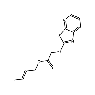 C/C=C/COC(=O)CSc1nc2cccnc2s1